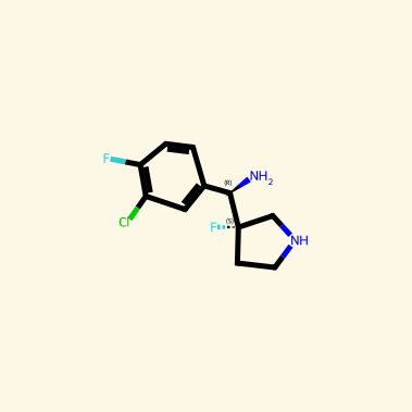 N[C@H](c1ccc(F)c(Cl)c1)[C@]1(F)CCNC1